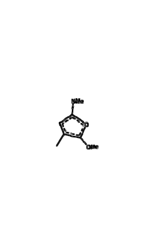 CNc1cc(C)c(OC)o1